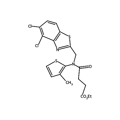 CCOC(=O)CCC(=O)N(Cc1nc2c(Cl)c(Cl)ccc2s1)c1sccc1C